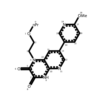 CCCOCCn1c(=O)c(=O)[nH]c2ncc(-c3ccc(OC)nc3)cc21